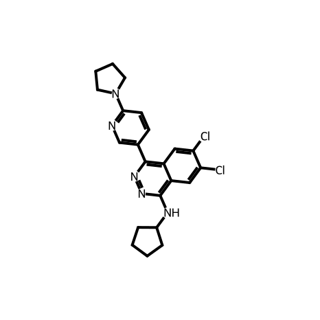 Clc1cc2c(NC3CCCC3)nnc(-c3ccc(N4CCCC4)nc3)c2cc1Cl